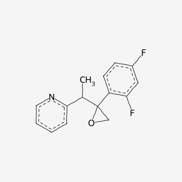 CC(c1ccccn1)C1(c2ccc(F)cc2F)CO1